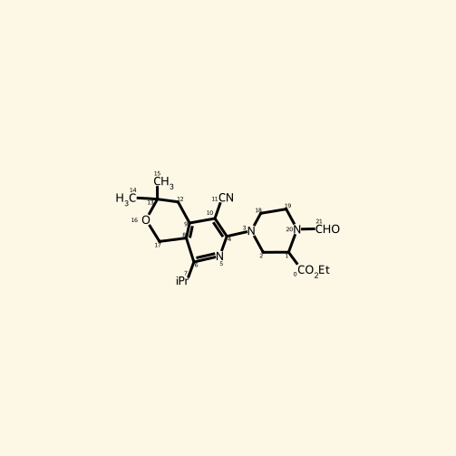 CCOC(=O)C1CN(c2nc(C(C)C)c3c(c2C#N)CC(C)(C)OC3)CCN1C=O